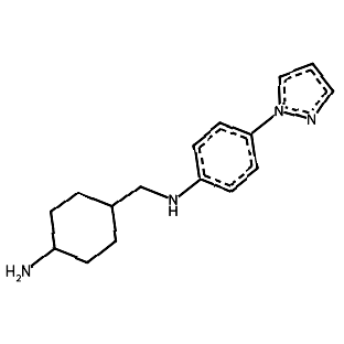 NC1CCC(CNc2ccc(-n3cccn3)cc2)CC1